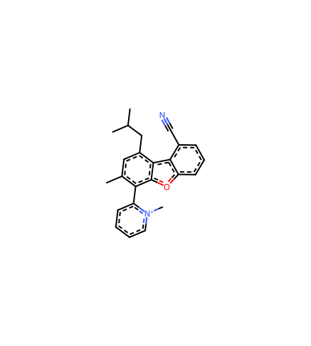 Cc1cc(CC(C)C)c2c(oc3cccc(C#N)c32)c1-c1cccc[n+]1C